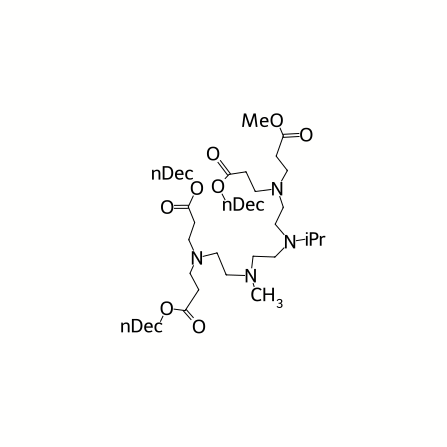 CCCCCCCCCCOC(=O)CCN(CCC(=O)OCCCCCCCCCC)CCN(C)CCN(CCN(CCC(=O)OC)CCC(=O)OCCCCCCCCCC)C(C)C